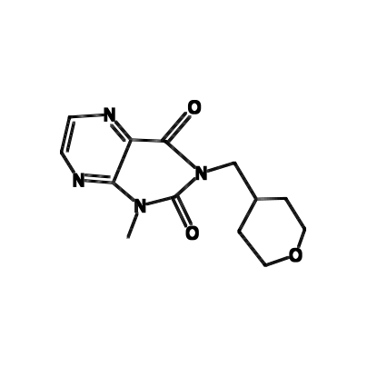 Cn1c(=O)n(CC2CCOCC2)c(=O)c2nccnc21